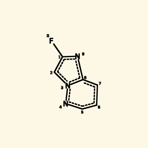 Fc1cn2ncccc2n1